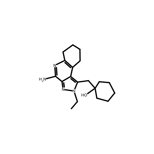 CCn1nc2c(N)nc3c(c2c1CC1(O)CCCCC1)CCCC3